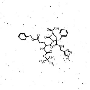 CC(C)(C)OC(=O)NC(CCC(=O)OCc1ccccc1)C(=O)N1C(=O)N(C(=O)O)C[C@@]1(Cc1ccccc1)C(=O)NCc1nn[nH]n1